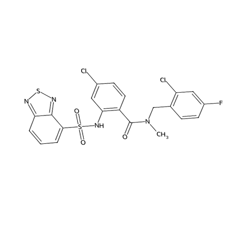 CN(Cc1ccc(F)cc1Cl)C(=O)c1ccc(Cl)cc1NS(=O)(=O)c1cccc2nsnc12